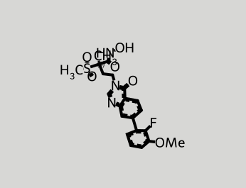 COc1cccc(-c2ccc3c(=O)n(CC[C@@](C)(C(=O)NO)S(C)(=O)=O)cnc3c2)c1F